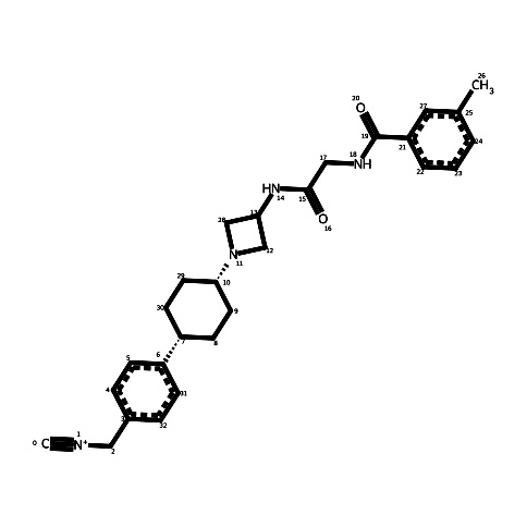 [C-]#[N+]Cc1ccc([C@H]2CC[C@@H](N3CC(NC(=O)CNC(=O)c4cccc(C)c4)C3)CC2)cc1